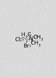 C[N+](C)(C)CCCl.[Br-]